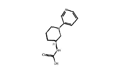 O=C(O)N[C@H]1CCCN(c2cccnc2)C1